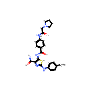 COc1ccc(Nc2nc(C(N)=O)c(NC(=O)c3ccc(NC(=O)CN4CCCC4)cc3)s2)cc1